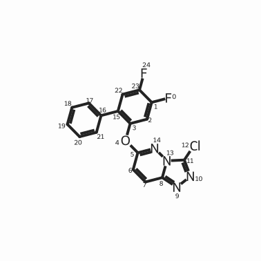 Fc1cc(Oc2ccc3nnc(Cl)n3n2)c(-c2ccccc2)cc1F